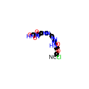 CC1(C)[C@H](NC(=O)c2cnc(N3CCC(CN4CCN(c5ccc6c(=O)n([C@@H]7CCC(=O)NC7=O)ncc6c5)CC4)CC3)cn2)C(C)(C)[C@H]1Oc1ccc(C#N)c(Cl)c1